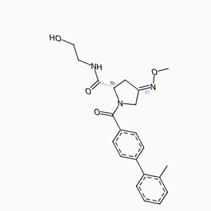 CO/N=C1\C[C@@H](C(=O)NCCO)N(C(=O)c2ccc(-c3ccccc3C)cc2)C1